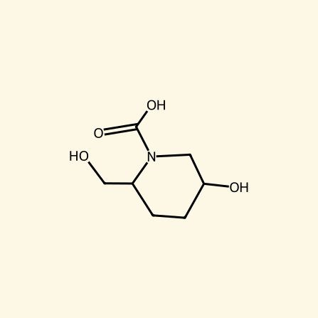 O=C(O)N1CC(O)CCC1CO